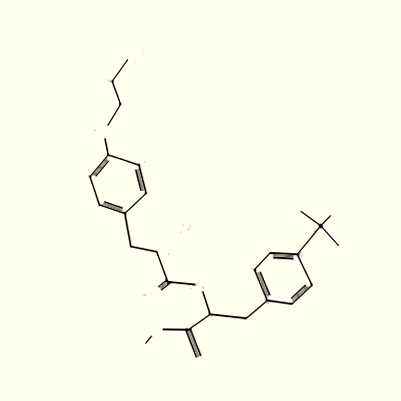 COC(=O)C(Cc1ccc(C(F)(F)F)cc1)NC(=O)[C@@H](N)Cc1ccc(OCCO)cc1